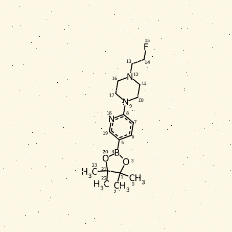 CC1(C)OB(c2ccc(N3CCN(CCF)CC3)nc2)OC1(C)C